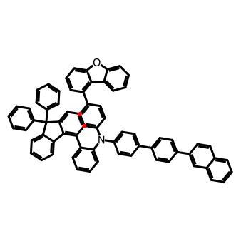 c1ccc(C2(c3ccccc3)c3ccccc3-c3c(-c4ccccc4N(c4ccc(-c5ccc(-c6ccc7ccccc7c6)cc5)cc4)c4ccc(-c5cccc6oc7ccccc7c56)cc4)cccc32)cc1